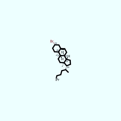 CC(C)CCCC(C)[C@H]1CC[C@H]2[C@@H]3CC=C4C[C@@H](Br)CC[C@]4(C)[C@H]3CC[C@]12C